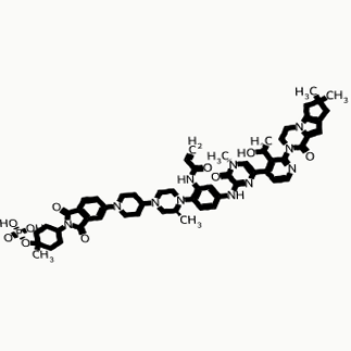 C=CC(=O)Nc1cc(Nc2nc(-c3ccnc(N4CCn5c(cc6c5CC(C)(C)C6)C4=O)c3C(C)O)cn(C)c2=O)ccc1N1CCN(C2CCN(c3ccc4c(c3)C(=O)N(C3CCC(C)(OP(=O)(O)O)CC3)C4=O)CC2)C[C@@H]1C